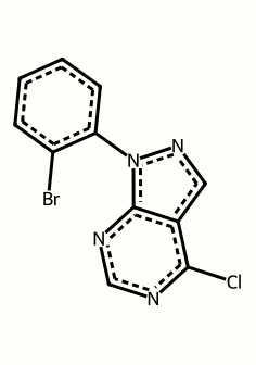 Clc1ncnc2c1cnn2-c1ccccc1Br